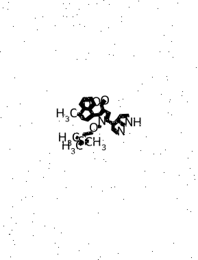 Cc1ccc(-c2c(C(=O)O)cc(-c3ccnc4[nH]ccc34)n2COCC[Si](C)(C)C)c2ccccc12